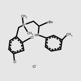 CCCCC(C[N+](C)(C)Cc1ccc(Cl)cc1Cl)Nc1cccc(C)c1.[Cl-]